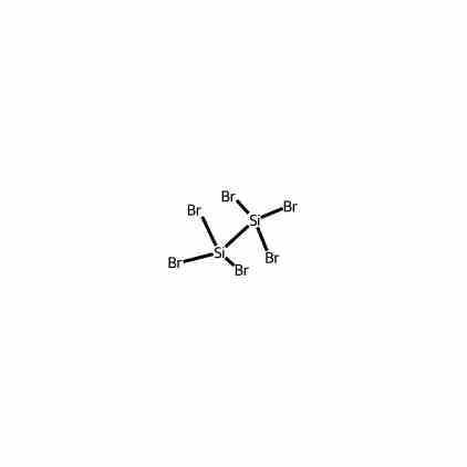 Br[Si](Br)(Br)[Si](Br)(Br)Br